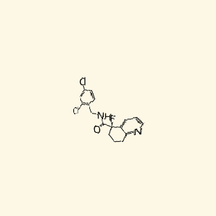 O=C(NCc1ccc(Cl)cc1Cl)[C@@]1(F)CCCc2ncccc21